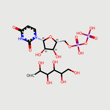 O=CC(O)C(O)C(O)C(O)CO.O=c1ccn([C@@H]2O[C@H](COP(=O)(O)OP(=O)(O)O)[C@@H](O)[C@H]2O)c(=O)[nH]1